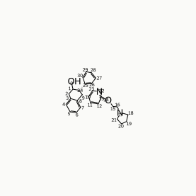 OC1Cc2ccccc2[C@@H](c2ccc(OCCN3CCCC3)nc2)[C@H]1c1ccccc1